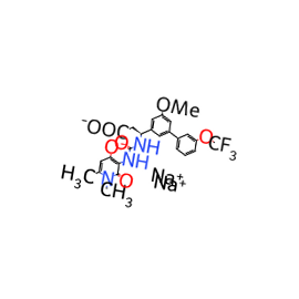 COc1cc(-c2cccc(OC(F)(F)F)c2)cc([C@H](CC(=O)[O-])NC(=O)Nc2c([O-])cc(C)n(C)c2=O)c1.[Na+].[Na+]